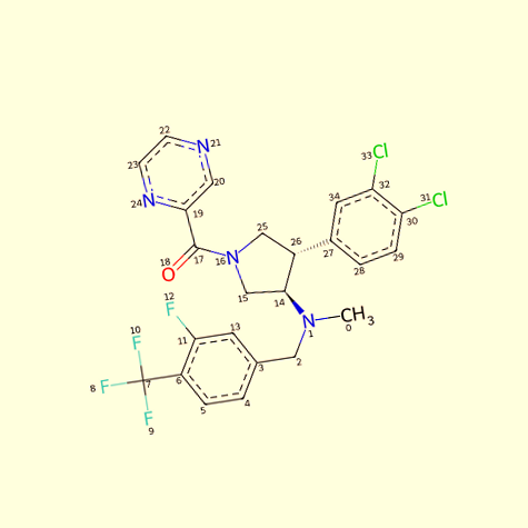 CN(Cc1ccc(C(F)(F)F)c(F)c1)[C@H]1CN(C(=O)c2cnccn2)C[C@@H]1c1ccc(Cl)c(Cl)c1